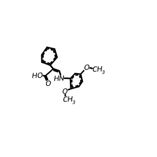 COc1ccc(OC)c(NC=C(C(=O)O)c2ccccc2)c1